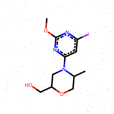 COc1nc(I)cc(N2CC(CO)OCC2C)n1